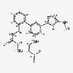 CC(C)Nc1ncc(-c2cc(-c3ccccc3CNC(=O)OC(C)(C)C)nc(NCCN(C)C)n2)s1